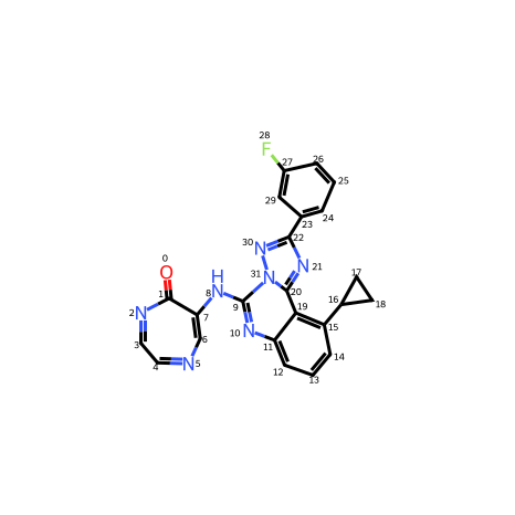 O=c1nccncc1Nc1nc2cccc(C3CC3)c2c2nc(-c3cccc(F)c3)nn12